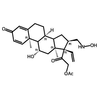 C=C[C@]1(C(=O)COC(C)=O)[C@H](CNO)CC2[C@@H]3CCC4=CC(=O)C=C[C@]4(C)C3[C@@H](O)C[C@@]21C